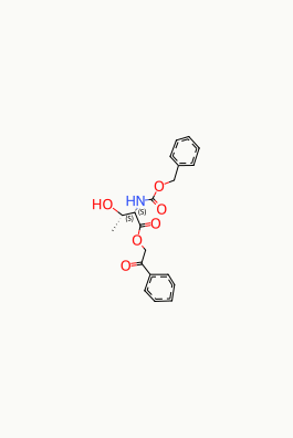 C[C@H](O)[C@H](NC(=O)OCc1ccccc1)C(=O)OCC(=O)c1ccccc1